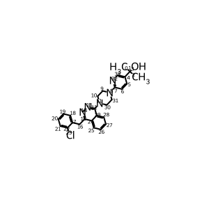 CC(C)(O)c1ccc(N2CCN(c3nnc(Cc4ccccc4Cl)c4ccccc34)CC2)nc1